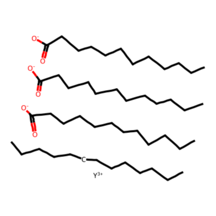 CCCCCCCCCCCC(=O)[O-].CCCCCCCCCCCC(=O)[O-].CCCCCCCCCCCC(=O)[O-].CCCCCCCCCCCCC.[Y+3]